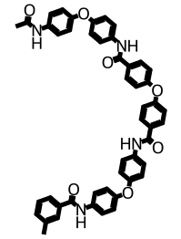 CC(=O)Nc1ccc(Oc2ccc(NC(=O)c3ccc(Oc4ccc(C(=O)Nc5ccc(Oc6ccc(NC(=O)c7cccc(C)c7)cc6)cc5)cc4)cc3)cc2)cc1